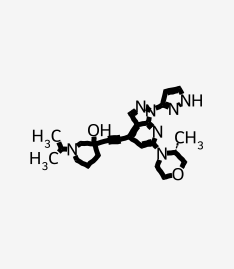 CC(C)N1CCCC(O)(C#Cc2cc(N3CCOC[C@H]3C)nc3c2cnn3-c2cc[nH]n2)C1